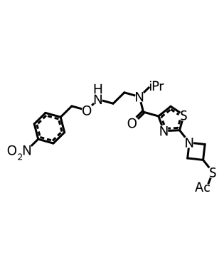 CC(=O)SC1CN(c2nc(C(=O)N(CCNOCc3ccc([N+](=O)[O-])cc3)C(C)C)cs2)C1